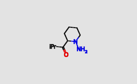 CC(C)C(=O)C1CCCCN1N